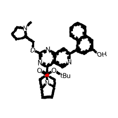 CN1CCCC1COc1nc(N2CC3CCC(C2)N3C(=O)OC(C)(C)C)c2cnc(-c3cc(O)cc4ccccc34)cc2n1